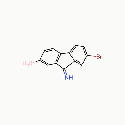 Bc1ccc2c(c1)C(=N)c1cc(Br)ccc1-2